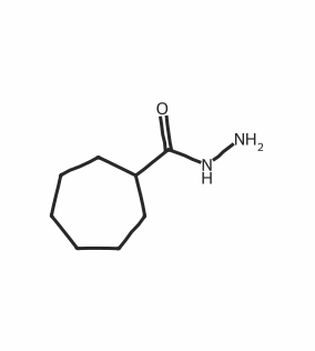 NNC(=O)C1CCCCCC1